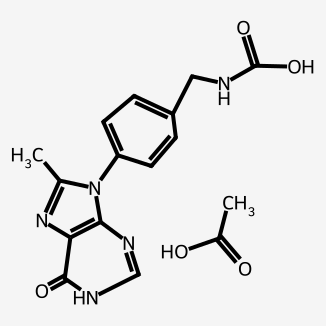 CC(=O)O.Cc1nc2c(=O)[nH]cnc2n1-c1ccc(CNC(=O)O)cc1